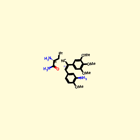 CC(C)C[C@@H](N)C(N)=O.COc1ccc(/C=C(/C#N)c2cc(OC)c(OC)c(OC)c2)cc1N